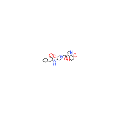 COc1cccc2c([C@@H](O)CN3CCC(NC(Cc4ccccc4)C4=COCO4)CC3)ccnc12